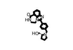 O=C1NCCn2c(-c3ccc(CN4CCC[C@@H]4CO)cc3)nc3cccc1c32